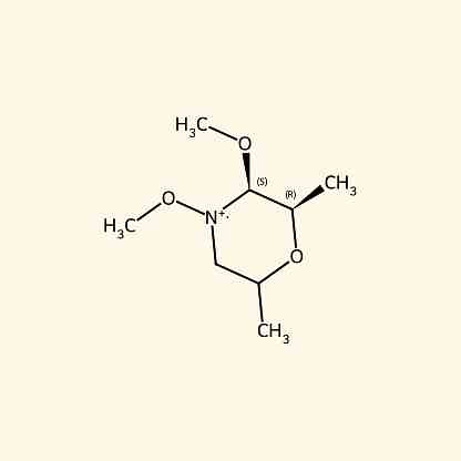 CO[C@H]1[C@@H](C)OC(C)C[N+]1OC